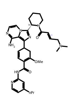 CCCc1ccnc(NC(=O)C2=C(OC)CC(c3nc([C@@H]4CCCCN4C(=O)/C=C/CN(C)C)n4ccnc(N)c34)C=C2)c1